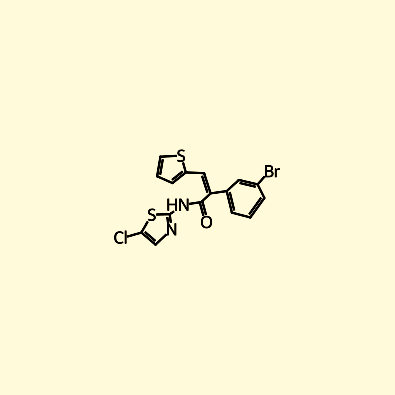 O=C(Nc1ncc(Cl)s1)C(=Cc1cccs1)c1cccc(Br)c1